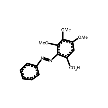 COc1cc(C(=O)O)c(/N=N/c2ccccc2)c(OC)c1OC